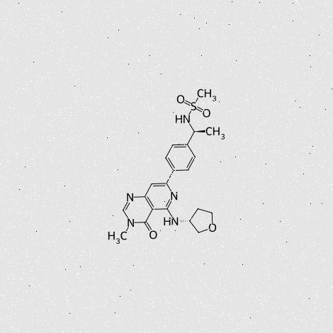 C[C@H](NS(C)(=O)=O)c1ccc(-c2cc3ncn(C)c(=O)c3c(N[C@@H]3CCOC3)n2)cc1